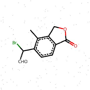 Cc1c(C(Br)C=O)ccc2c1COC2=O